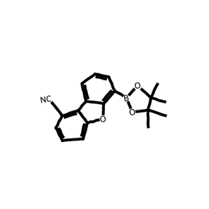 CC1(C)OB(c2cccc3c2oc2cccc(C#N)c23)OC1(C)C